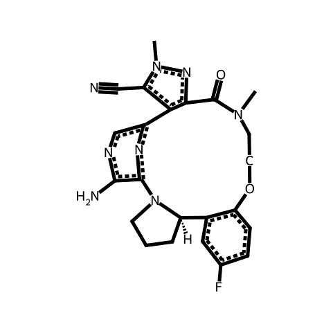 CN1CCOc2ccc(F)cc2[C@H]2CCCN2c2nc(cnc2N)-c2c(nn(C)c2C#N)C1=O